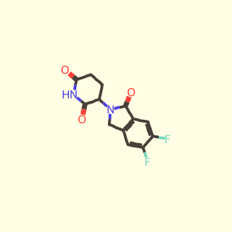 O=C1CCC(N2Cc3cc(F)c(F)cc3C2=O)C(=O)N1